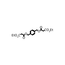 CCOC(=O)CC(=O)OCc1ccc(COC(=O)CC(=O)OCC)cc1